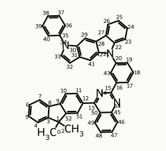 CC1(C)c2ccccc2-c2ccc(-c3nc(-c4cccc(-n5c6ccccc6c6cc7c(ccn7-c7ccccc7)cc65)c4)nc4ccccc34)cc21